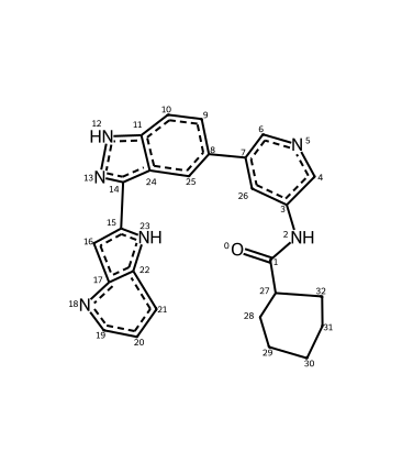 O=C(Nc1cncc(-c2ccc3[nH]nc(-c4cc5ncccc5[nH]4)c3c2)c1)C1CCCCC1